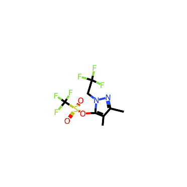 Cc1nn(CC(F)(F)F)c(OS(=O)(=O)C(F)(F)F)c1C